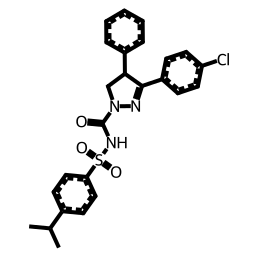 CC(C)c1ccc(S(=O)(=O)NC(=O)N2CC(c3ccccc3)C(c3ccc(Cl)cc3)=N2)cc1